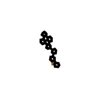 c1cc(-c2ccc3sc4ccccc4c3c2)cc(-c2ccc3c(c2)c2cccc4c5ccccc5c5cccc3c5c42)c1